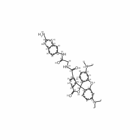 CN(C)c1ccc2c(c1)Oc1cc(N(C)C)ccc1C21OC(=O)c2ccc(C(=O)NCC(=O)Nc3ccc4nc(N)sc4c3)cc21